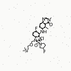 Cc1c(Nc2c(F)ccc(N(COCC[Si](C)(C)C)S(=O)(=O)N3CC[C@@H](F)C3)c2Cl)ccc2ncn(C)c(=O)c12